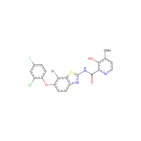 COc1ccnc(C(=O)Nc2nc3ccc(Oc4ccc(F)cc4Cl)c(Br)c3s2)c1O